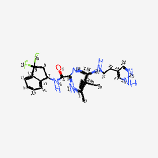 Cc1nc(C(=O)NC2CC(F)(F)c3ccccc32)nc(NCCc2cn[nH]c2)c1C